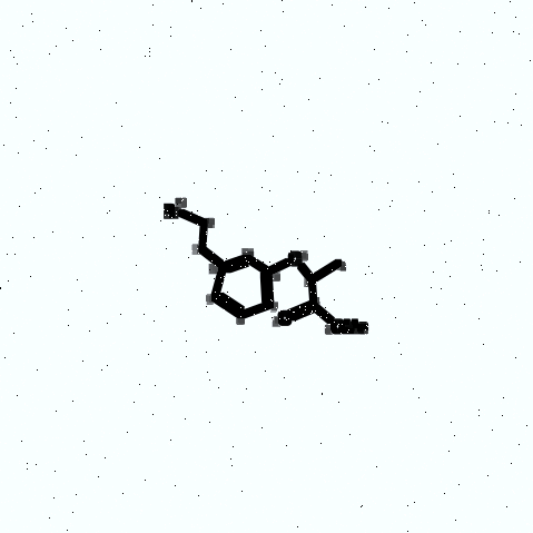 COC(=O)C(C)Oc1cccc(CCBr)c1